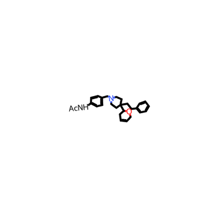 CC(=O)Nc1ccc(CN2CCC(CCc3ccccc3)(C3CC=CCO3)CC2)cc1